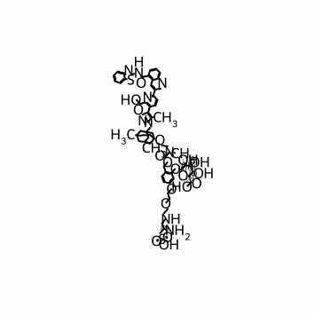 Cc1c(-c2ccc(-c3cnc4cccc(C(=O)Nc5nc6ccccc6s5)c4c3)nc2C(=O)O)cnn1CC12CC3(C)CC(C)(C1)CC(OCCN(C)C(=O)OCc1ccc(OCCOCCNC[C@@H](N)CS(=O)(=O)O)cc1O[C@@H]1O[C@H](C(=O)O)[C@@H](O)[C@H](O)[C@H]1O)(C3)C2